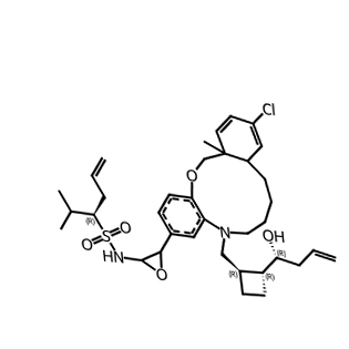 C=CC[C@@H](O)[C@@H]1CC[C@H]1CN1CCCCC2C=C(Cl)C=CC2(C)COc2ccc(C3OC3NS(=O)(=O)[C@H](CC=C)C(C)C)cc21